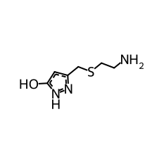 NCCSCc1cc(O)[nH]n1